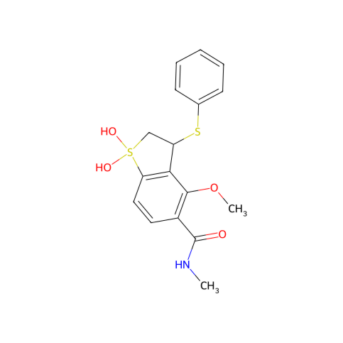 CNC(=O)c1ccc2c(c1OC)C(Sc1ccccc1)CS2(O)O